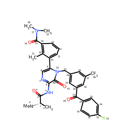 CN[C@@H](C)C(=O)Nc1ncc(-c2cccc(C(=O)N(C)C)c2C)n(Cc2cc(C(=O)c3ccc(F)cc3)cc(C(F)(F)F)c2)c1=O